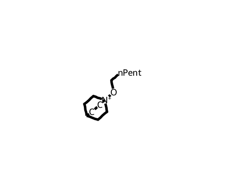 CCCCCCO[N+]12CCC(CC1)CC2